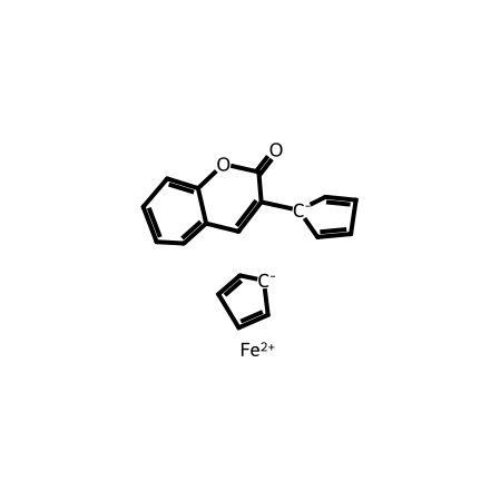 O=c1oc2ccccc2cc1-[c-]1cccc1.[Fe+2].c1cc[cH-]c1